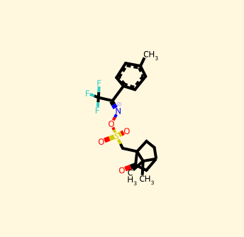 Cc1ccc(/C(=N/OS(=O)(=O)CC23CCC(CC2=O)C3(C)C)C(F)(F)F)cc1